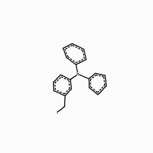 ICc1cccc(N(c2ccccc2)c2ccccc2)c1